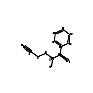 CN(CCC#N)C(=O)c1ccccc1